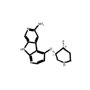 Nc1cc2c(cn1)[nH]c1nccc(O[C@H]3CNCC[C@H]3F)c12